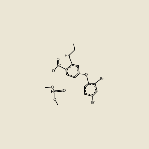 CCNc1cc(Oc2ccc(Br)cc2Br)ccc1[N+](=O)[O-].CO[PH](=O)OC